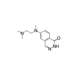 CN(C)CCN(C)c1ccc2c(=O)[nH]ncc2c1